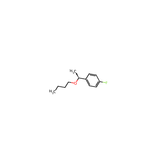 CCCCO[C@@H](C)c1ccc(F)cc1